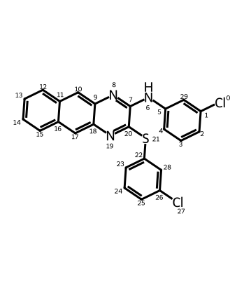 Clc1cccc(Nc2nc3cc4ccccc4cc3nc2Sc2cccc(Cl)c2)c1